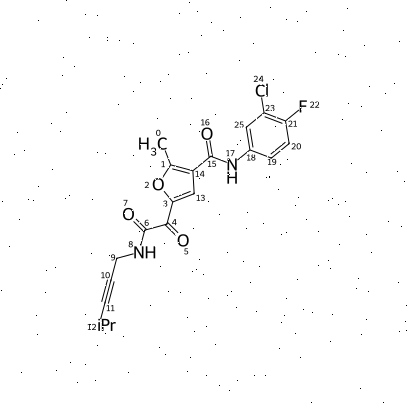 Cc1oc(C(=O)C(=O)NCC#CC(C)C)cc1C(=O)Nc1ccc(F)c(Cl)c1